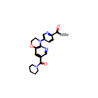 CNC(=O)c1ccc(N2CCOc3cc(C(=O)N4CCCCC4)cnc32)cn1